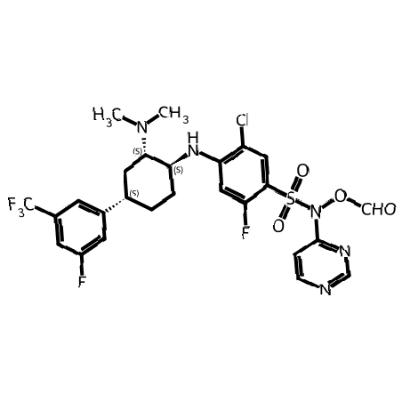 CN(C)[C@H]1C[C@@H](c2cc(F)cc(C(F)(F)F)c2)CC[C@@H]1Nc1cc(F)c(S(=O)(=O)N(OC=O)c2ccncn2)cc1Cl